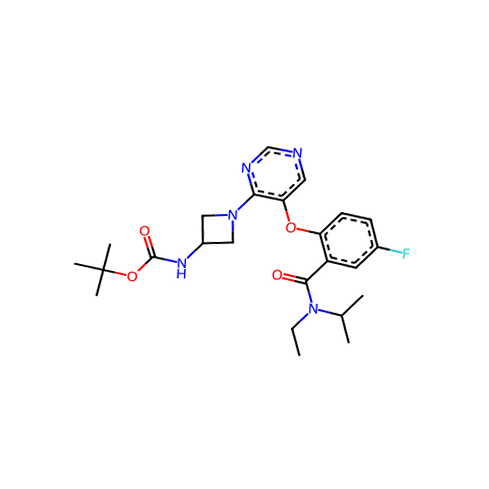 CCN(C(=O)c1cc(F)ccc1Oc1cncnc1N1CC(NC(=O)OC(C)(C)C)C1)C(C)C